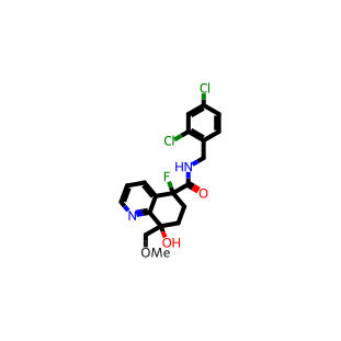 COCC1(O)CCC(F)(C(=O)NCc2ccc(Cl)cc2Cl)c2cccnc21